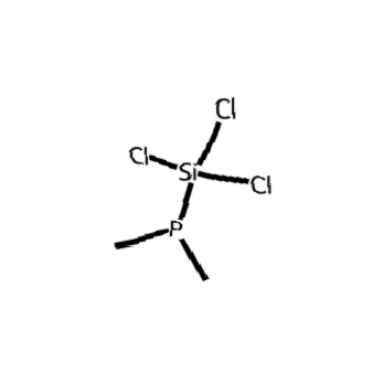 CP(C)[Si](Cl)(Cl)Cl